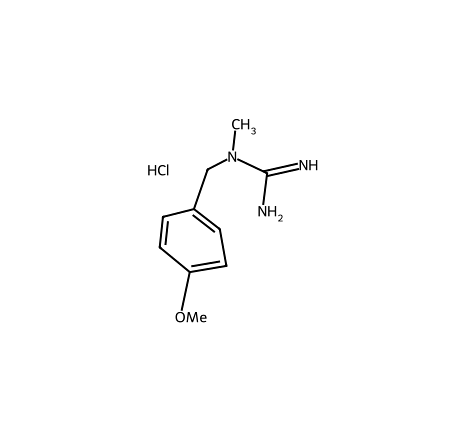 COc1ccc(CN(C)C(=N)N)cc1.Cl